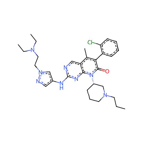 CCCN1CCC[C@H](n2c(=O)c(-c3ccccc3Cl)c(C)c3cnc(Nc4cnn(CCN(CC)CC)c4)nc32)C1